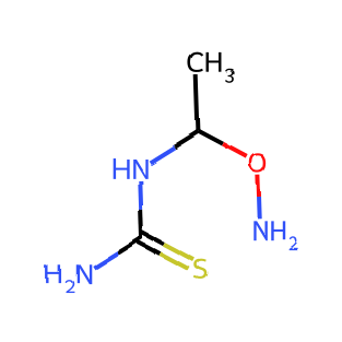 CC(NC(N)=S)ON